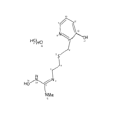 CN/C(=N/CCSCc1ncccc1O)NO.Cl.Cl